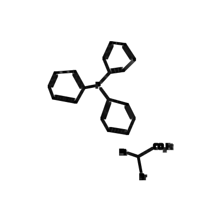 CCOC(=O)C(Br)CC.c1ccc(P(c2ccccc2)c2ccccc2)cc1